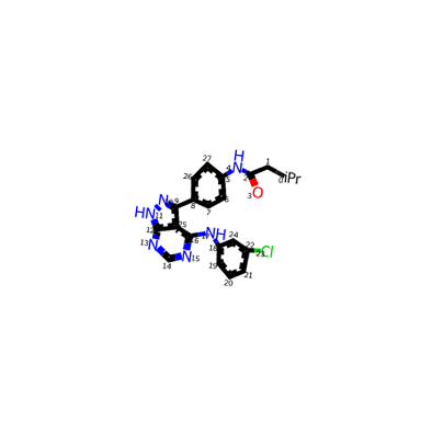 CC(C)CC(=O)Nc1ccc(-c2n[nH]c3ncnc(Nc4cccc(Cl)c4)c23)cc1